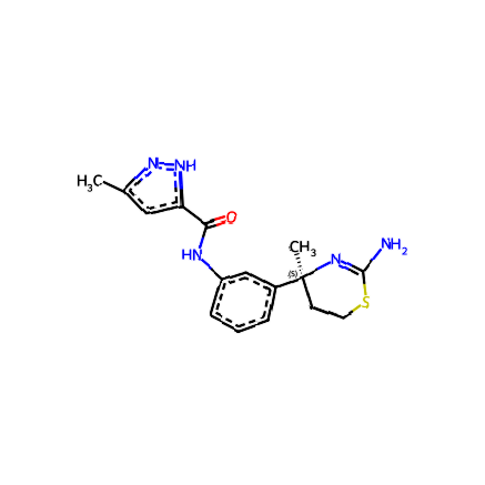 Cc1cc(C(=O)Nc2cccc([C@]3(C)CCSC(N)=N3)c2)[nH]n1